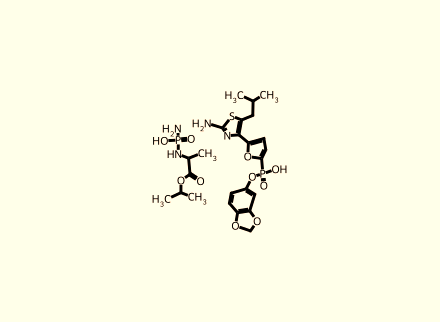 CC(C)Cc1sc(N)nc1-c1ccc(P(=O)(O)Oc2ccc3c(c2)OCO3)o1.CC(C)OC(=O)C(C)NP(N)(=O)O